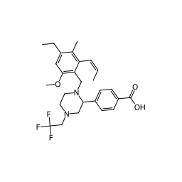 C/C=C\c1c(C)c(CC)cc(OC)c1CN1CCN(CC(F)(F)F)CC1c1ccc(C(=O)O)cc1